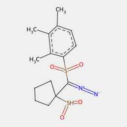 Cc1ccc(S(=O)(=O)C(=[N+]=[N-])C2([SH](=O)=O)CCCC2)c(C)c1C